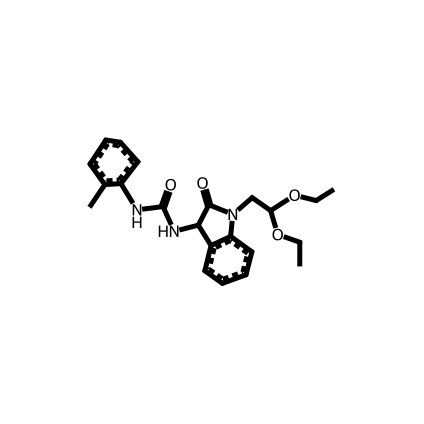 CCOC(CN1C(=O)C(NC(=O)Nc2ccccc2C)c2ccccc21)OCC